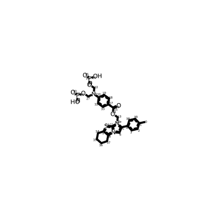 Cc1ccc(-c2cn3c4c(sc3[n+]2COC(=O)c2ccc(N(CO[PH](=O)O)CO[PH](=O)O)cc2)CCCC4)cc1